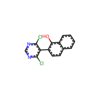 Oc1c(-c2c(Cl)ncnc2Cl)ccc2ccccc12